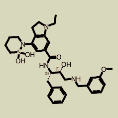 CCN1CCc2c1cc(C(=O)N[C@@H](Cc1ccccc1)[C@H](O)CNCc1cccc(OC)c1)cc2N1CCCCS1(O)O